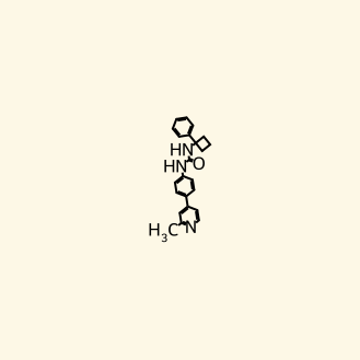 Cc1cc(-c2ccc(NC(=O)NC3(c4ccccc4)CCC3)cc2)ccn1